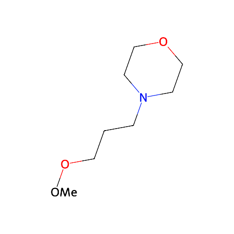 COOCCCN1CCOCC1